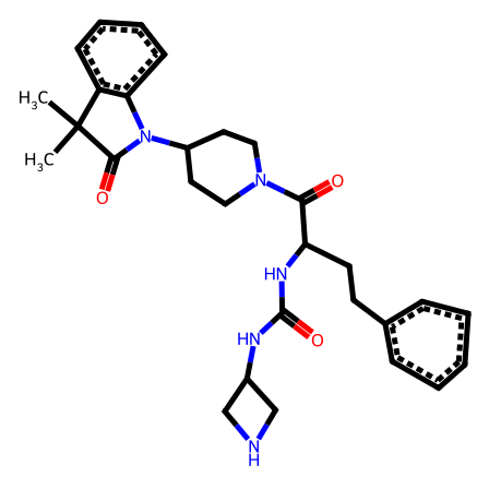 CC1(C)C(=O)N(C2CCN(C(=O)C(CCc3ccccc3)NC(=O)NC3CNC3)CC2)c2ccccc21